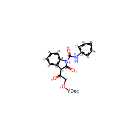 CCCCCCCCCCOCC(=O)C1C(=O)N(C(=O)Nc2ccccc2)c2ccccc21